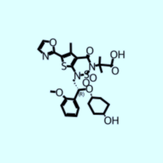 COc1ccccc1[C@H](CN1c2sc(-c3ncco3)c(C)c2C(=O)N(C(C)(C)C(=O)O)S1(=O)=O)O[C@H]1CC[C@@H](O)CC1